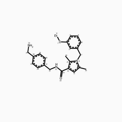 CCOc1cccc(Cn2c(C)cc(C(=O)NCc3ccc(CN)cc3)c2C)c1